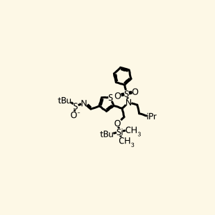 CC(C)CCN(C(CO[Si](C)(C)C(C)(C)C)c1cc(C=N[S+]([O-])C(C)(C)C)cs1)S(=O)(=O)c1ccccc1